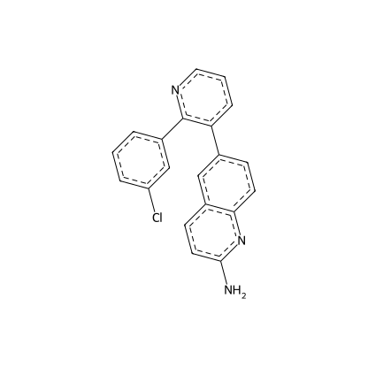 Nc1ccc2cc(-c3cccnc3-c3cccc(Cl)c3)ccc2n1